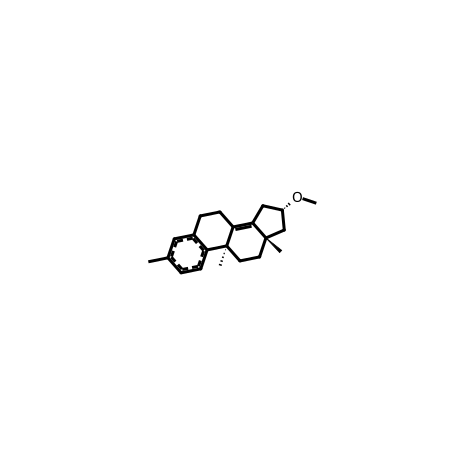 CO[C@H]1CC2=C3CCc4cc(C)ccc4[C@]3(C)CC[C@@]2(C)C1